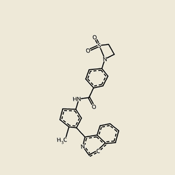 Cc1ccc(NC(=O)c2ccc(N3CCS3(=O)=O)cc2)cc1-c1nccc2ccccc12